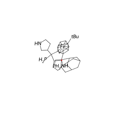 CC(C)(C)[C]12[CH]3[C]4(C(P)(C5CCNC5)C5CCNC5)[C]5(C6(CP)C7CC8CC(C7)CC6C8)[CH]1[Fe]32451678[CH]2[CH]1[CH]6[CH]7[CH]28